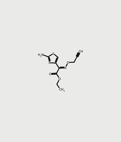 C#CCO/N=C(/C(=O)OCC)c1csc(N)n1